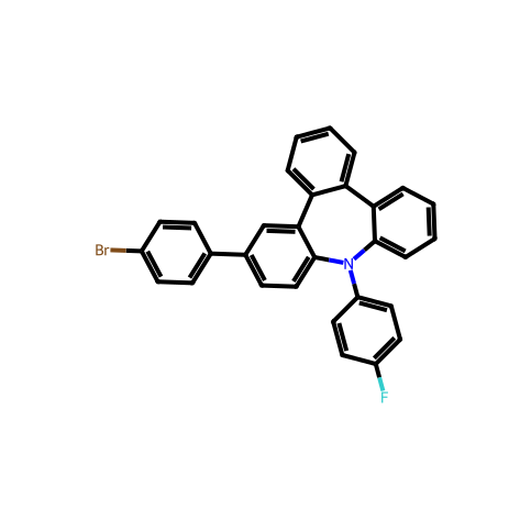 Fc1ccc(N2c3ccccc3-c3ccccc3-c3cc(-c4ccc(Br)cc4)ccc32)cc1